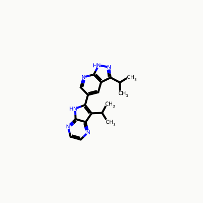 CC(C)c1n[nH]c2ncc(-c3[nH]c4nccnc4c3C(C)C)cc12